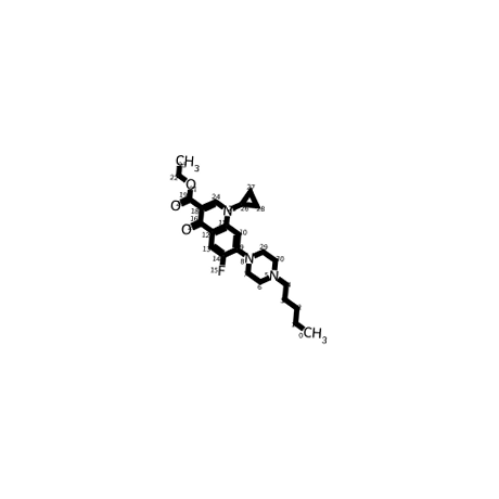 CCCCCN1CCN(c2cc3c(cc2F)c(=O)c(C(=O)OCC)cn3C2CC2)CC1